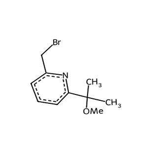 COC(C)(C)c1cccc(CBr)n1